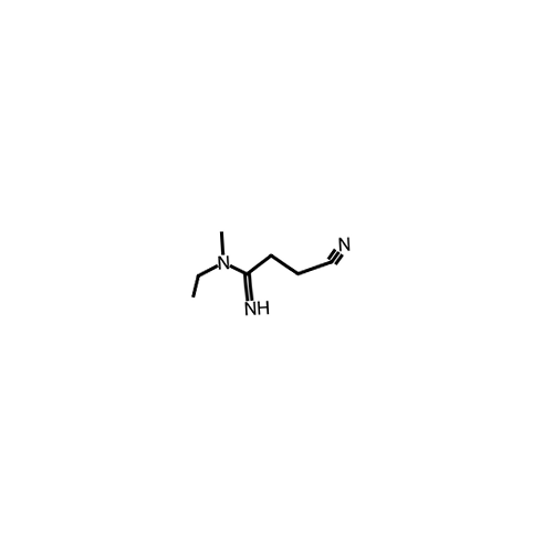 CCN(C)C(=N)CCC#N